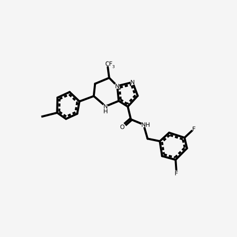 Cc1ccc(C2CC(C(F)(F)F)n3ncc(C(=O)NCc4cc(F)cc(F)c4)c3N2)cc1